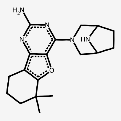 CC1(C)CCCc2c1oc1c(N3CC4CCC(C3)N4)nc(N)nc21